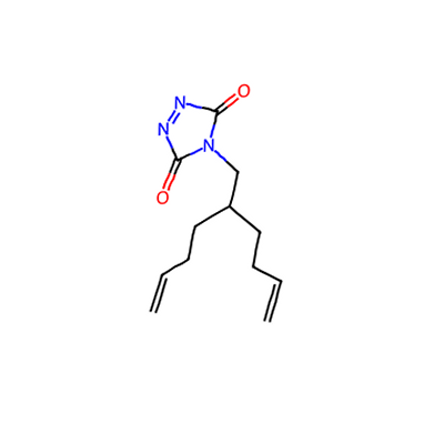 C=CCCC(CCC=C)CN1C(=O)N=NC1=O